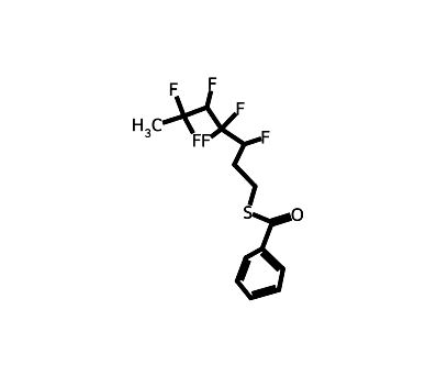 CC(F)(F)C(F)C(F)(F)C(F)CCSC(=O)c1ccccc1